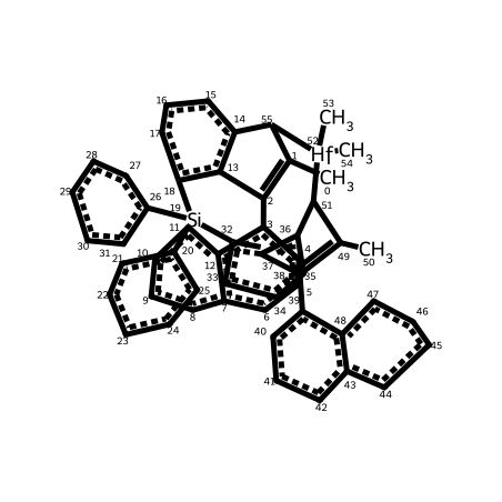 CC1=C(c2cccc3ccccc23)c2c3cccc2[Si](c2ccccc2)(c2ccccc2)c2cccc4c2C(c2cccc5ccccc25)=C(C)[CH]4[Hf]([CH3])([CH3])[CH]13